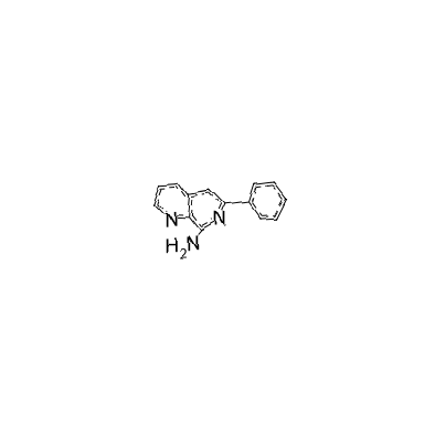 Nc1nc(-c2ccccc2)cc2cccnc12